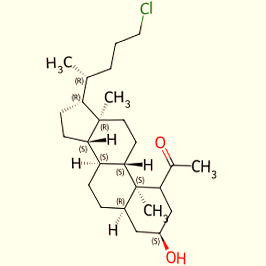 CC(=O)C1C[C@@H](O)C[C@H]2CC[C@H]3[C@@H]4CC[C@H]([C@H](C)CCCCl)[C@@]4(C)CC[C@@H]3[C@@]12C